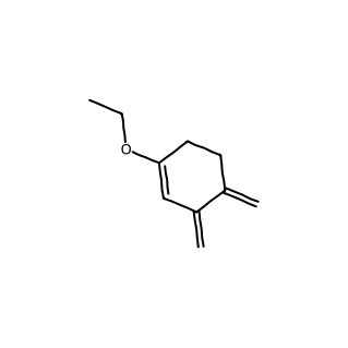 C=C1C=C(OCC)CCC1=C